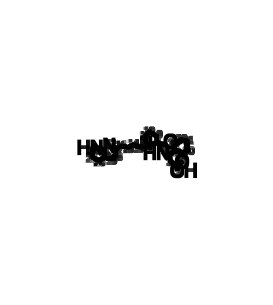 O=C(O)CC(NC(=O)C1CCCN(CCCCc2ccc3c(n2)NCCC3)C1)c1ccccc1